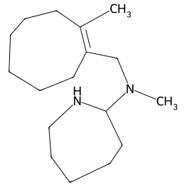 C/C1=C(\CN(C)C2CCCCCN2)CCCCCC1